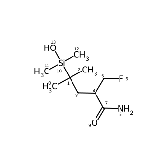 CC(C)(CC(CF)C(N)=O)[Si](C)(C)O